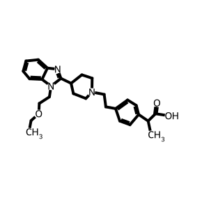 CCOCCn1c(C2CCN(CCc3ccc(C(C)C(=O)O)cc3)CC2)nc2ccccc21